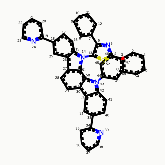 c1ccc(-c2nc(-c3ccccc3)c(-n3c4ccc(-c5ccccn5)cc4c4ccc5c6cc(-c7ccccn7)ccc6n(-c6ccccc6)c5c43)s2)cc1